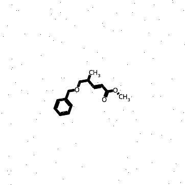 COC(=O)/C=C/C(C)COCc1ccccc1